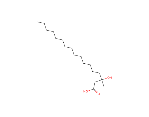 CCCCCCCCCCCCCCC(C)(O)CC(=O)O